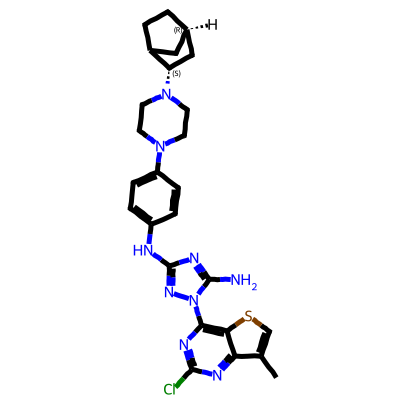 Cc1csc2c(-n3nc(Nc4ccc(N5CCN([C@H]6C[C@@H]7CCC6C7)CC5)cc4)nc3N)nc(Cl)nc12